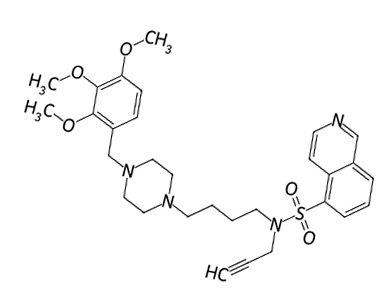 C#CCN(CCCCN1CCN(Cc2ccc(OC)c(OC)c2OC)CC1)S(=O)(=O)c1cccc2cnccc12